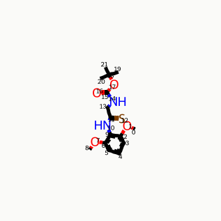 COc1cccc(OC)c1NC(=S)CNC(=O)OC(C)(C)C